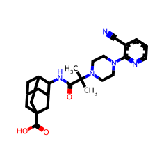 CC(C)(C(=O)NC1C2CC3CC1CC(C(=O)O)(C3)C2)N1CCN(c2ncccc2C#N)CC1